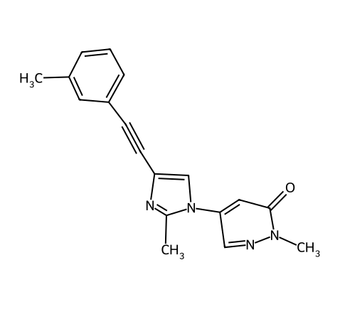 Cc1cccc(C#Cc2cn(-c3cnn(C)c(=O)c3)c(C)n2)c1